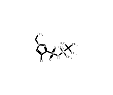 CCn1cc(Cl)c(S(=O)(=O)N[Si](C)(C)C(C)(C)C)n1